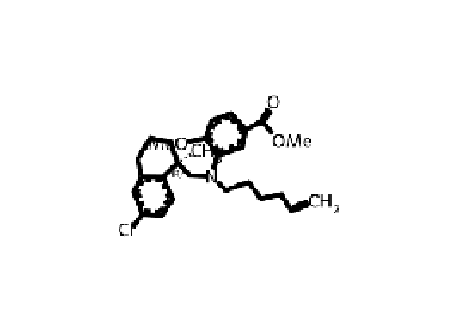 C=CCCCCN(C[C@]1(C)CCCc2cc(Cl)ccc21)c1cc(C(=O)OC)ccc1OC